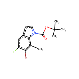 Cc1c(Br)c(F)cc2ccn(C(=O)OC(C)(C)C)c12